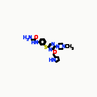 CN1CCN(c2ncc(Sc3cccc(NC(=O)CN)c3)nc2OCC2CCCN2)CC1